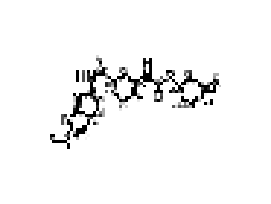 CCn1cc2ncc(N[C@@H](C)c3cccc(NC(=O)Cc4cncc(F)c4)c3)nc2n1